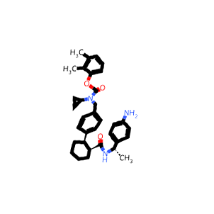 Cc1cccc(OC(=O)N(Cc2ccc([C@@H]3CCCC[C@@H]3C(=O)N[C@@H](C)c3ccc(N)cc3)cc2)C2CC2)c1C